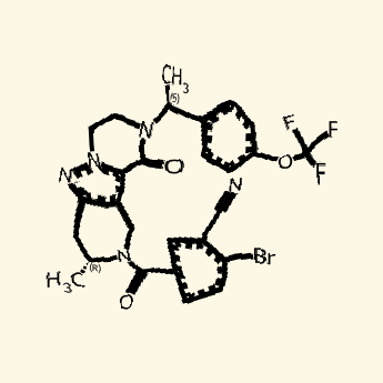 C[C@@H]1Cc2nn3c(c2CN1C(=O)c1ccc(Br)c(C#N)c1)C(=O)N([C@@H](C)c1ccc(OC(F)(F)F)cc1)CC3